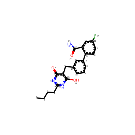 CCCCc1nc(=O)c(Cc2cccc(-c3ccc(F)cc3C(N)=O)c2)c(O)[nH]1